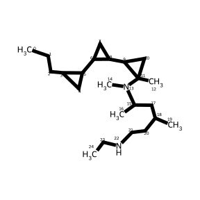 CCCC1CC1C1CC1C1CC1(C)N(C)C(C)CC(C)CCNCC